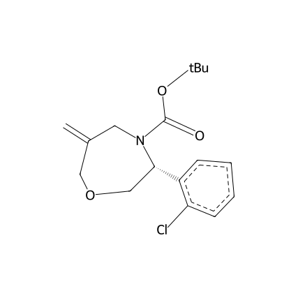 C=C1COC[C@@H](c2ccccc2Cl)N(C(=O)OC(C)(C)C)C1